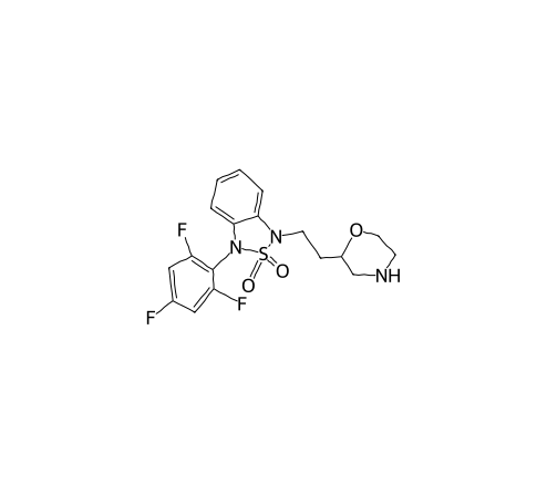 O=S1(=O)N(CCC2CNCCO2)c2ccccc2N1c1c(F)cc(F)cc1F